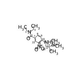 CCN(CC)C(=O)c1ccc(NCC(C)N(C)C)c([N+](=O)[O-])c1